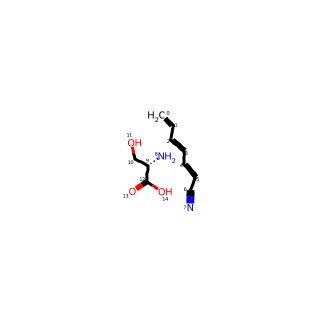 C=CC=CC=CC#N.N[C@@H](CO)C(=O)O